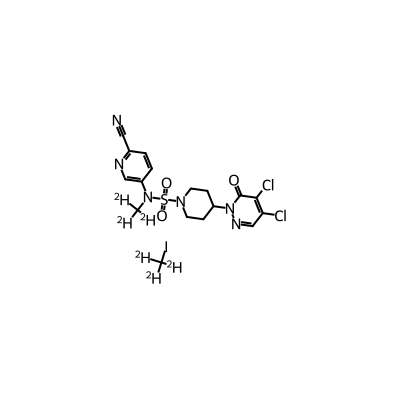 [2H]C([2H])([2H])I.[2H]C([2H])([2H])N(c1ccc(C#N)nc1)S(=O)(=O)N1CCC(n2ncc(Cl)c(Cl)c2=O)CC1